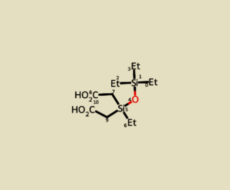 CC[Si](CC)(CC)O[Si](CC)(CC(=O)O)CC(=O)O